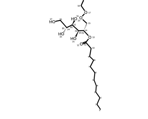 CCCCCCCCCCCC(=O)O[C@@H](COOCC)[C@@H](O)[C@H](O)[C@H](O)CO